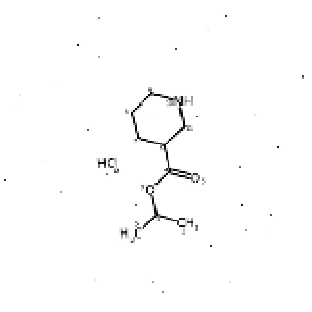 CC(C)OC(=O)C1CCCNC1.Cl